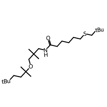 CC(C)(C)CCC(C)(C)OCC(C)(C)CNC(=O)CCCCCSCC(C)(C)C